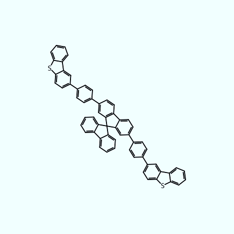 c1ccc2c(c1)-c1ccccc1C21c2cc(-c3ccc(-c4ccc5sc6ccccc6c5c4)cc3)ccc2-c2ccc(-c3ccc(-c4ccc5sc6ccccc6c5c4)cc3)cc21